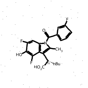 CCCC[C@H](C(=O)O)c1c(C)n(C(=O)c2cccc(F)c2)c2cc(F)c(O)c(F)c12